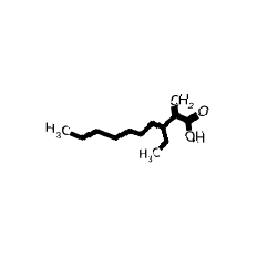 C=C(C(=O)O)C(CC)CCCCCCC